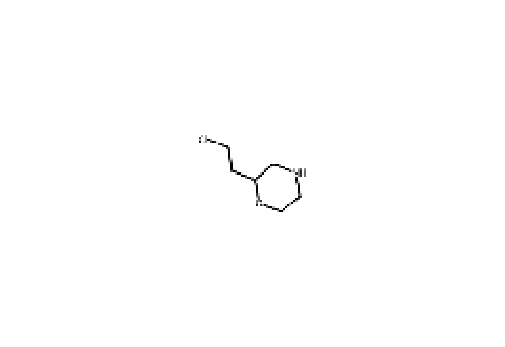 ClCCC1CNCCO1